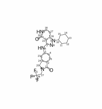 O=C1c2ccc(Nc3nn(C4CCCCC4)c4cc[nH]c(=O)c34)cc2CN1CC(F)(F)F